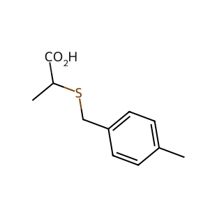 Cc1ccc(CSC(C)C(=O)O)cc1